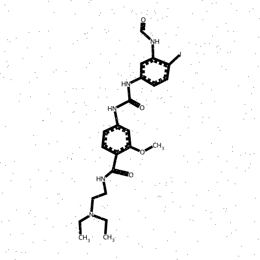 CCN(CC)CCNC(=O)c1ccc(NC(=O)Nc2ccc(I)c(NC=O)c2)cc1OC